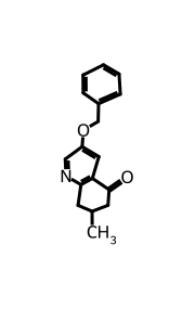 CC1CC(=O)c2cc(OCc3ccccc3)cnc2C1